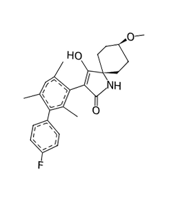 CO[C@H]1CC[C@@]2(CC1)NC(=O)C(c1c(C)cc(C)c(-c3ccc(F)cc3)c1C)=C2O